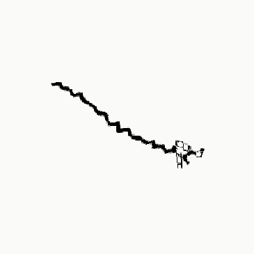 CCC=CCC=CCC=CCC=CCC=CCC=CCCC(=O)NC(C)C(=O)OC